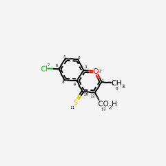 Cc1oc2ccc(Cl)cc2c(=S)c1C(=O)O